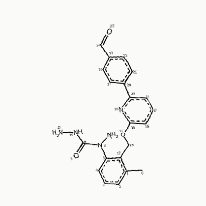 Cc1cccc(N(N)C(=O)NN)c1COc1cccc(-c2ccc(C=O)cc2)n1